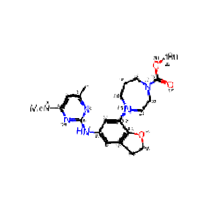 CNc1cc(C)nc(Nc2cc3c(c(N4CCCN(C(=O)OC(C)(C)C)CC4)c2)OCC3)n1